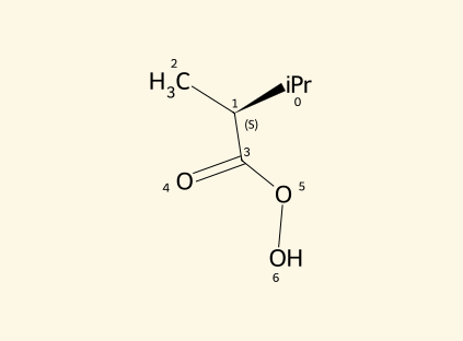 CC(C)[C@H](C)C(=O)OO